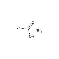 N.O=[C](O)[Zr]